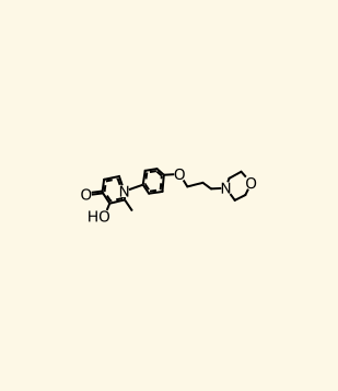 Cc1c(O)c(=O)ccn1-c1ccc(OCCCN2CCOCC2)cc1